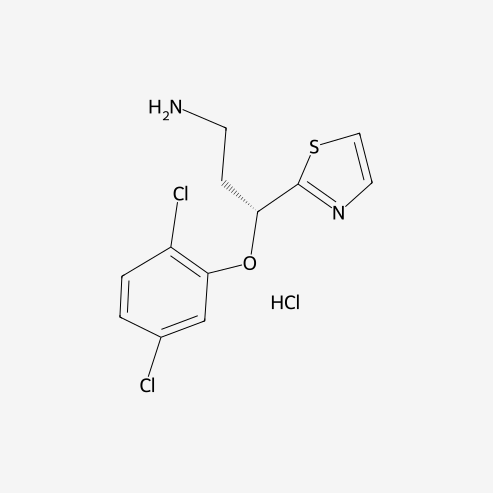 Cl.NCC[C@@H](Oc1cc(Cl)ccc1Cl)c1nccs1